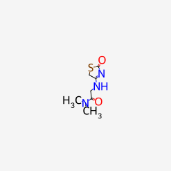 CN(C)C(=O)CNC1=NC(=O)SC1